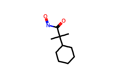 CC(C)(C(=O)N=O)C1CCCCC1